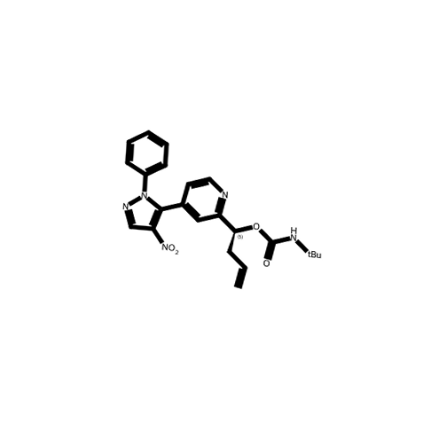 C=CC[C@H](OC(=O)NC(C)(C)C)c1cc(-c2c([N+](=O)[O-])cnn2-c2ccccc2)ccn1